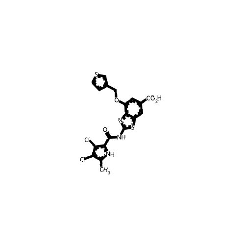 Cc1[nH]c(C(=O)Nc2nc3c(OCc4ccsc4)cc(C(=O)O)cc3s2)c(Cl)c1Cl